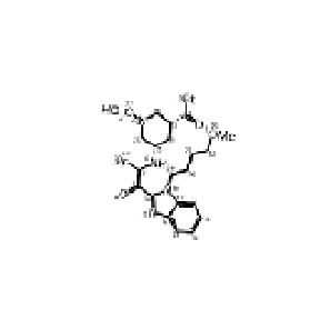 CCC(=O)[C@@H]1C[C@H](NC(C(=O)c2nc3ccccc3n2CCCCOC)C(C)C)CN(C(=O)O)C1